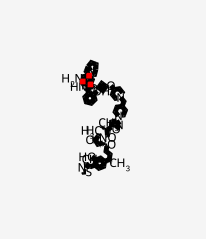 Cc1ncsc1-c1ccc([C@H](C)CCC(=O)[C@@H]2C[C@@H](O)CN2C(=O)[C@H](c2cc(N3CCC(CN4CCC(O[C@H]5C[C@H](Oc6cc(N7C8CCC7CN(c7cc(-c9ccccc9O)[nH]c7N)C8)ccn6)C5)CC4)CC3)no2)C(C)C)cc1O